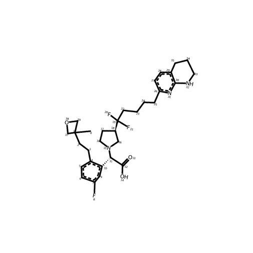 CC1(CCc2ccc(F)cc2[C@@H](C(=O)O)N2CC[C@@H](C(F)(F)CCCCc3ccc4c(n3)NCCC4)C2)COC1